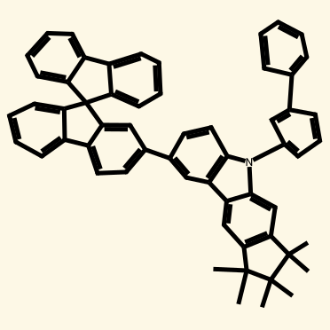 CC1(C)c2cc3c4cc(-c5ccc6c(c5)C5(c7ccccc7-c7ccccc75)c5ccccc5-6)ccc4n(-c4cccc(-c5ccccc5)c4)c3cc2C(C)(C)C1(C)C